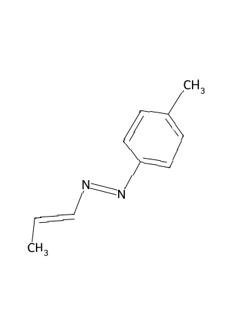 C/C=C/N=N/c1ccc(C)cc1